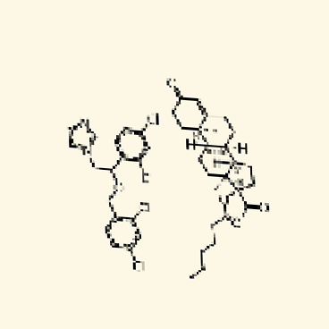 CCCCCC(=O)O[C@]1(C(C)=O)CC[C@H]2[C@@H]3CCC4=CC(=O)CC[C@]4(C)[C@H]3CC[C@@]21C.Clc1ccc(COC(Cn2ccnc2)c2ccc(Cl)cc2Cl)c(Cl)c1